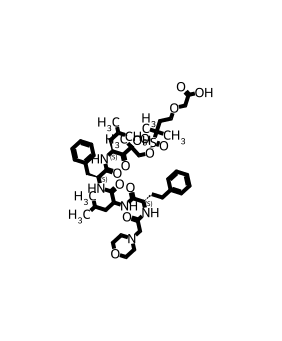 CC(C)CC(NC(=O)[C@H](CCc1ccccc1)NC(=O)CN1CCOCC1)C(=O)N[C@@H](Cc1ccccc1)C(=O)N[C@@H](CC(C)C)C(=O)C(C)(O)COS(=O)(=O)C(C)(C)CCOCC(=O)O